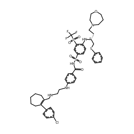 O=C(NS(=O)(=O)c1ccc(N[C@H](CCN2CCCOCC2)CSc2ccccc2)c(S(=O)(=O)C(F)(F)F)c1)c1ccc(NCCNCC2=C(c3ccc(Cl)cc3)CCCCC2)cc1